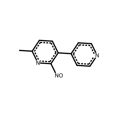 Cc1ccc(-c2ccncc2)c(N=O)n1